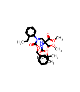 CCc1ccccc1N(CC(NC(=O)OC(C)(C)C)(C(=O)OC)C(=O)OC)C(=O)OCc1ccccc1